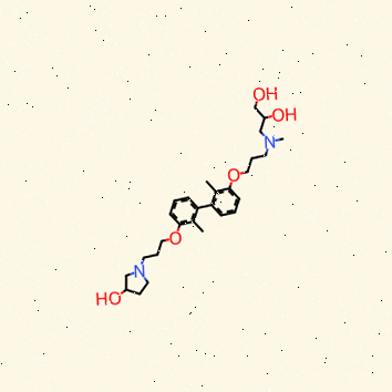 Cc1c(OCCCN(C)CC(O)CO)cccc1-c1cccc(OCCCN2CCC(O)C2)c1C